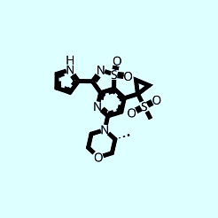 C[C@@H]1COCCN1c1cc(C2(S(C)(=O)=O)CC2)c2c(n1)C(c1ccc[nH]1)=NS2(=O)=O